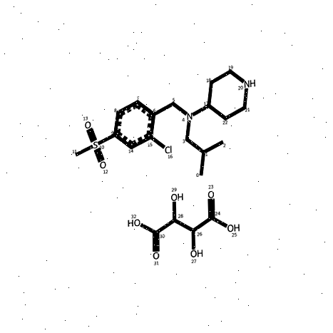 CC(C)CN(Cc1ccc(S(C)(=O)=O)cc1Cl)C1CCNCC1.O=C(O)C(O)C(O)C(=O)O